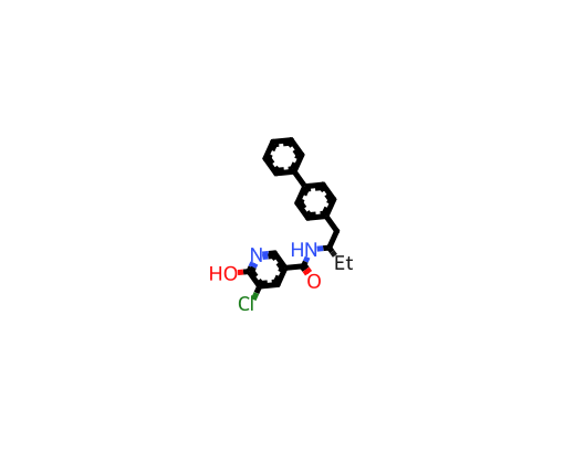 CCC(Cc1ccc(-c2ccccc2)cc1)NC(=O)c1cnc(O)c(Cl)c1